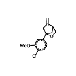 COc1cc(C23CNC(CO2)C3)ccc1Cl